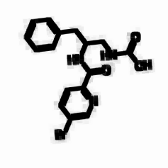 O=C(O)NCC(Cc1ccccc1)NC(=O)c1ccc(Br)cn1